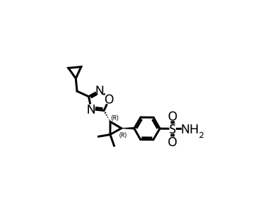 CC1(C)[C@H](c2ccc(S(N)(=O)=O)cc2)[C@H]1c1nc(CC2CC2)no1